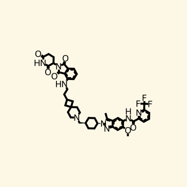 COc1cc2nn([C@H]3CC[C@H](CN4CCC5(CC4)CC(CCNc4cccc6c4C(=O)N(C4CCC(=O)NC4=O)C6=O)C5)CC3)c(C)c2cc1NC(=O)c1cccc(C(F)(F)F)n1